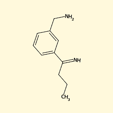 CCCC(=N)c1cccc(CN)c1